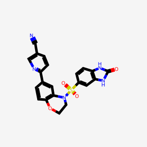 N#Cc1ccc(-c2ccc3c(c2)N(S(=O)(=O)c2ccc4[nH]c(=O)[nH]c4c2)CCO3)nc1